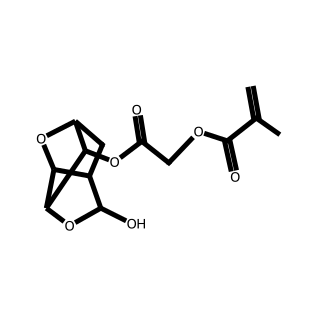 C=C(C)C(=O)OCC(=O)OC1C2CC3C(O)OC1C3O2